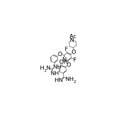 CC(=O)N1CCC(Oc2c(F)c(Oc3cccc(NC(=N)N)c3)nc(Oc3cc(C(=N)N)ccc3O)c2F)CC1